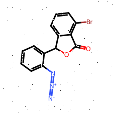 [N-]=[N+]=Nc1ccccc1C1OC(=O)c2c(Br)cccc21